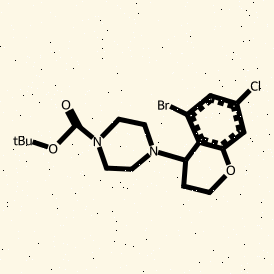 CC(C)(C)OC(=O)N1CCN(C2CCOc3cc(Cl)cc(Br)c32)CC1